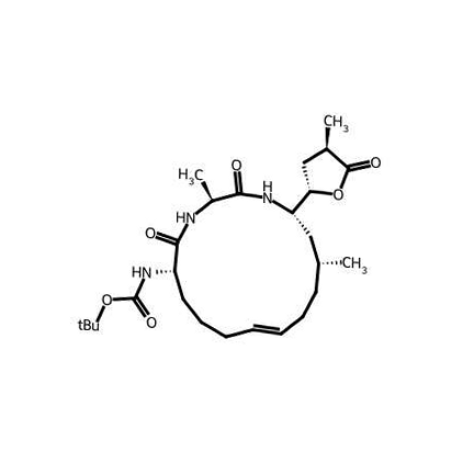 C[C@@H]1CC/C=C/CCC[C@H](NC(=O)OC(C)(C)C)C(=O)N[C@@H](C)C(=O)N[C@H]([C@@H]2C[C@@H](C)C(=O)O2)C1